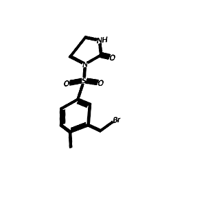 Cc1ccc(S(=O)(=O)N2CCNC2=O)cc1CBr